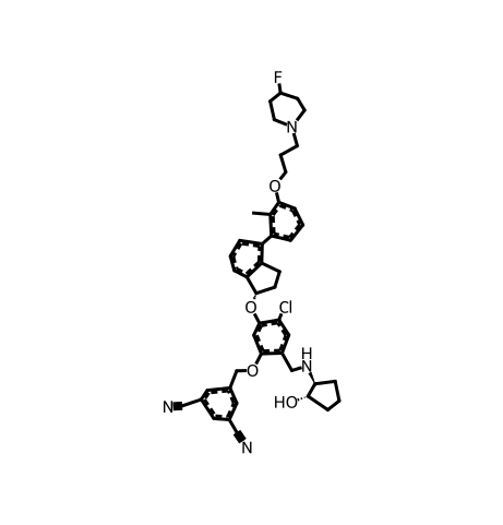 Cc1c(OCCCN2CCC(F)CC2)cccc1-c1cccc2c1CC[C@@H]2Oc1cc(OCc2cc(C#N)cc(C#N)c2)c(CN[C@H]2CCC[C@@H]2O)cc1Cl